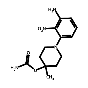 CC1(OC(N)=O)CCN(c2cccc(N)c2[N+](=O)[O-])CC1